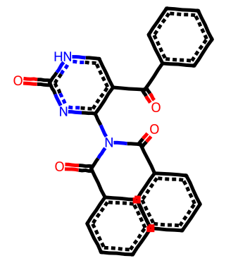 O=C(c1ccccc1)c1c[nH]c(=O)nc1N(C(=O)c1ccccc1)C(=O)c1ccccc1